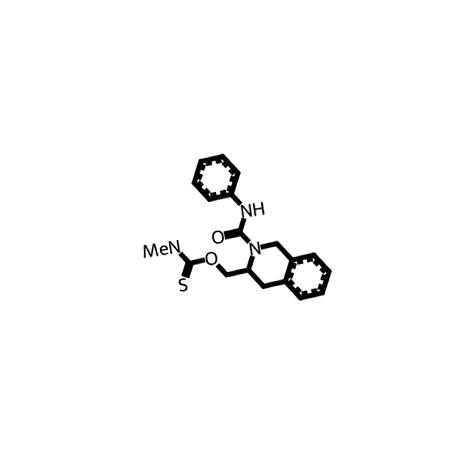 CNC(=S)OCC1Cc2ccccc2CN1C(=O)Nc1ccccc1